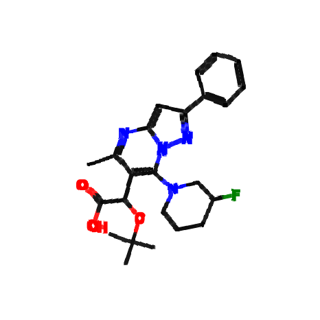 Cc1nc2cc(-c3ccccc3)nn2c(N2CCCC(F)C2)c1C(OC(C)(C)C)C(=O)O